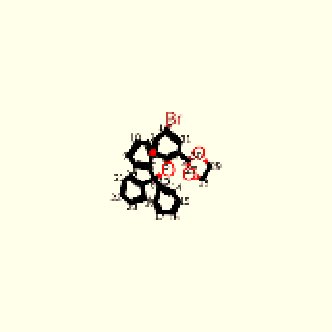 Brc1ccc(OC(c2ccccc2)(c2ccccc2)c2ccccc2)c(C2OCCO2)c1